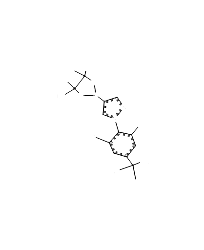 CC1(C)OB(c2cnn(-c3c(Cl)cc(C(F)(C(F)(F)F)C(F)(F)F)cc3Cl)c2)OC1(C)C